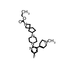 CCOC(=O)N1CC2(CC[C@@H](N3CCN(c4ncc(F)cc4C4=CCN(C)CC4)CC3)C2)C1